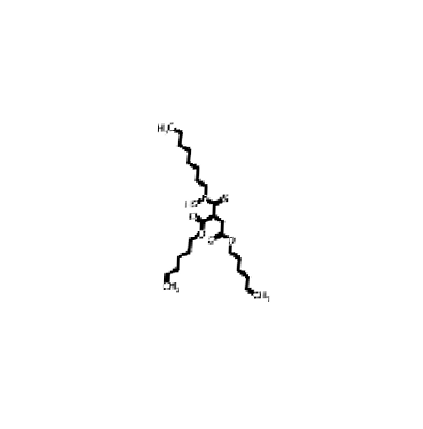 CCCCCCCCN(S)C(=S)C(CC(=O)OCCCCCC)C(=O)OCCCCCC